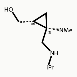 CN[C@@]1(CNC(C)C)C[C@H]1CO